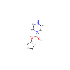 O=C(OC1CCCC1)N1CCNCC1